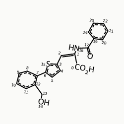 O=C(O)/C(=C\c1ccc(-c2ccccc2CO)s1)NC(=O)c1ccccc1